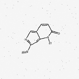 CCn1c(=O)ccc2cnc(NC)cc21